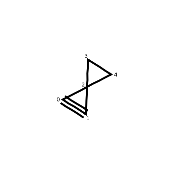 C1#CC12CC2